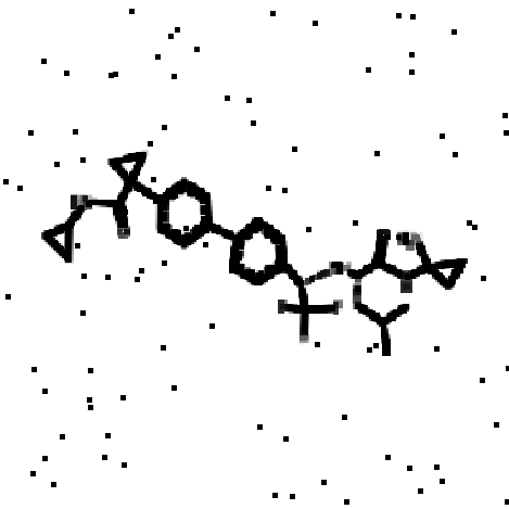 CC(C)C[C@H](N[C@@H](c1ccc(-c2ccc(C3(C(=O)NC4CC4)CC3)cc2)cc1)C(F)(F)F)C(=O)NC1(N)CC1